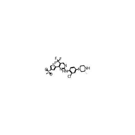 C[C@@H]1CN(c2ccc(Nc3ncc(C(F)(F)F)c(-c4cc(S(C)(=O)=O)cs4)n3)c(Cl)c2)CCN1